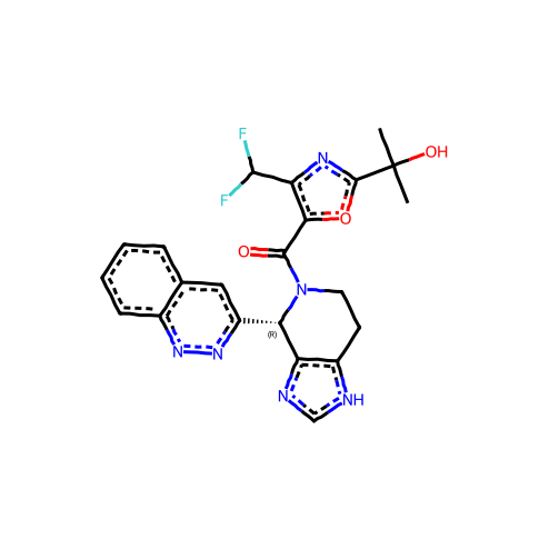 CC(C)(O)c1nc(C(F)F)c(C(=O)N2CCc3[nH]cnc3[C@@H]2c2cc3ccccc3nn2)o1